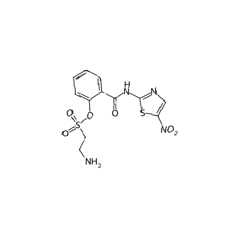 NCCS(=O)(=O)Oc1ccccc1C(=O)Nc1ncc([N+](=O)[O-])s1